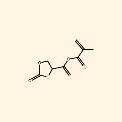 C=C(C)C(=O)OC(=C)C1COC(=O)O1